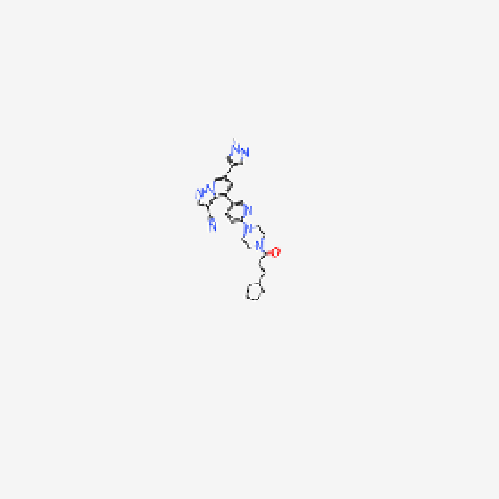 Cn1cc(-c2cc(-c3ccc(N4CCN(C(=O)CCC5CCCC5)CC4)nc3)c3c(C#N)cnn3c2)cn1